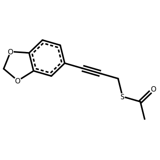 CC(=O)SCC#Cc1ccc2c(c1)OCO2